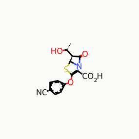 C[C@@H](O)[C@H]1C(=O)N2C(C(=O)O)=C(Oc3ccc(C#N)cc3)SC12